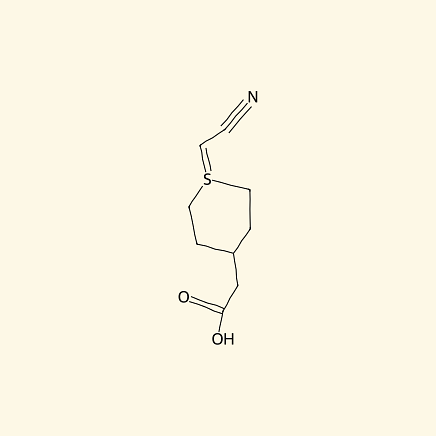 N#CC=S1CCC(CC(=O)O)CC1